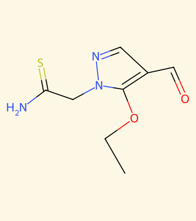 CCOc1c(C=O)cnn1CC(N)=S